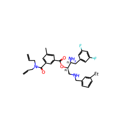 C=CCN(CC=C)C(=O)c1cc(C)cc(C(=O)O[C@H](CNCc2cccc(CC)c2)[C@@H](N)Cc2cc(F)cc(F)c2)c1